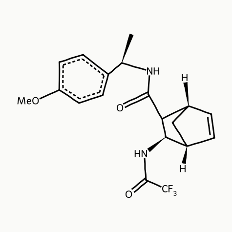 COc1ccc([C@@H](C)NC(=O)C2[C@@H]3C=C[C@@H](C3)[C@H]2NC(=O)C(F)(F)F)cc1